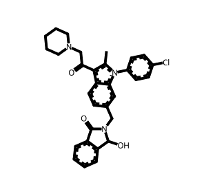 Cc1c(C(=O)CN2CCCCC2)c2ccc(CN3C(=O)c4ccccc4C3O)cc2n1-c1ccc(Cl)cc1